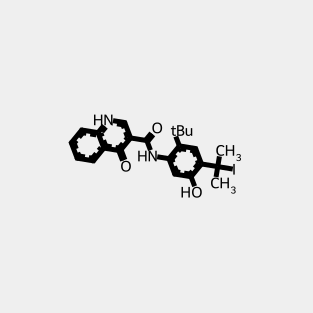 CC(C)(C)c1cc(C(C)(C)I)c(O)cc1NC(=O)c1c[nH]c2ccccc2c1=O